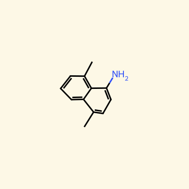 Cc1ccc(N)c2c(C)cccc12